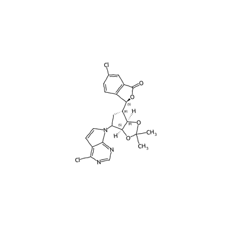 CC1(C)O[C@@H]2[C@@H]([C@@H]3OC(=O)c4cc(Cl)ccc43)CC(n3ccc4c(Cl)ncnc43)[C@@H]2O1